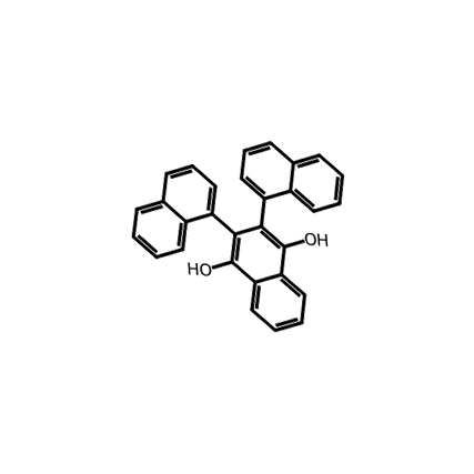 Oc1c(-c2cccc3ccccc23)c(-c2cccc3ccccc23)c(O)c2ccccc12